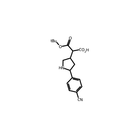 CC(C)(C)OC(=O)C(C(=O)O)C1CNC(c2ccc(C#N)cc2)C1